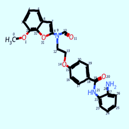 COc1cccc2cc(N(C=O)CCOc3ccc(C(=O)Nc4ccccc4N)cc3)oc12